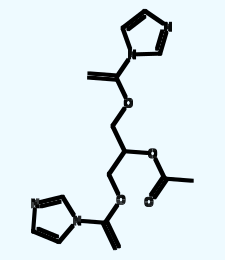 C=C(OCC(COC(=C)n1ccnc1)OC(C)=O)n1ccnc1